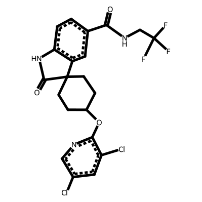 O=C(NCC(F)(F)F)c1ccc2c(c1)C1(CCC(Oc3ncc(Cl)cc3Cl)CC1)C(=O)N2